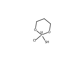 S[PH]1(Cl)OCCCO1